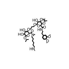 CNCCCCCCN(C)C(=O)C1O[C@@H](OC(C)C)[C@@H](O)[C@@H](O)[C@@H]1OCCCO[C@@H]1OC(C(=O)NCCc2ccc(OC)c(OC)c2)[C@@H](OC(C)C)[C@H](O)[C@@H]1O